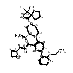 CCOc1ncccc1-c1ccc(N2CCN(C(=O)C3(C(F)(F)F)CCCC3)C[C@H]2CC)c(C(=O)NC[C@@H]2CCN2)n1